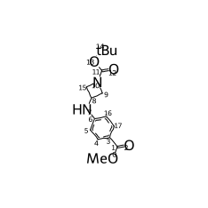 COC(=O)c1ccc(NC2CN(C(=O)OC(C)(C)C)C2)cc1